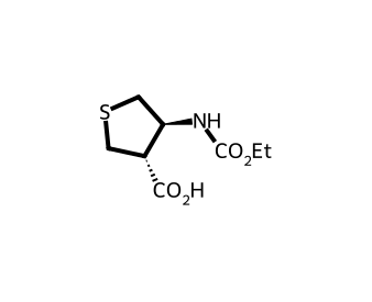 CCOC(=O)N[C@@H]1CSC[C@H]1C(=O)O